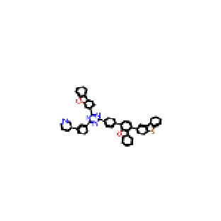 c1cncc(-c2cccc(-c3nc(-c4ccc(-c5ccc(-c6ccc7sc8ccccc8c7c6)c6c5oc5ccccc56)cc4)nc(-c4ccc5c(c4)oc4ccccc45)n3)c2)c1